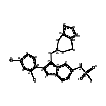 CS(=O)(=O)Nc1ccc2nc(-c3ccc(Cl)cc3Cl)c(CN3CCn4ncnc4C3)n2c1